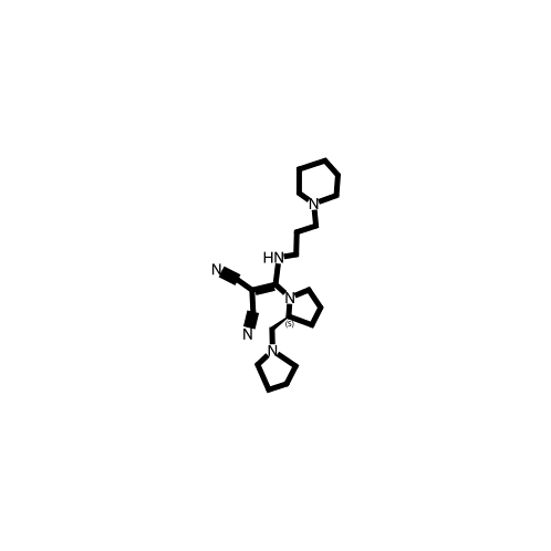 N#CC(C#N)=C(NCCCN1CCCCC1)N1CCC[C@H]1CN1CCCC1